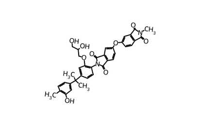 Cc1ccc(C(C)(C)c2ccc(N3C(=O)c4ccc(Oc5ccc6c(c5)C(=O)N(C)C6=O)cc4C3=O)c(OCC(O)CO)c2)cc1O